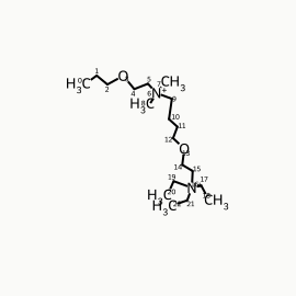 CCCOCC[N+](C)(C)CCCCOCC[N+](CC)(CC)CC